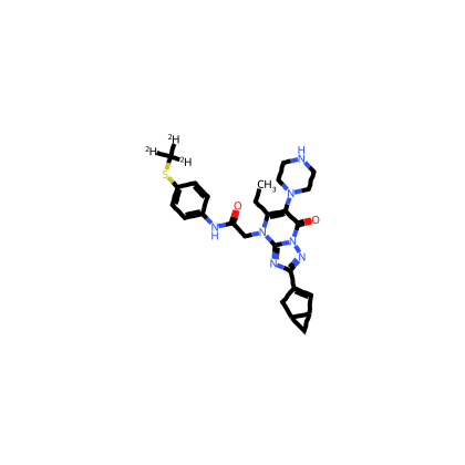 [2H]C([2H])([2H])Sc1ccc(NC(=O)Cn2c(CC)c(N3CCNCC3)c(=O)n3nc(C4=CC5CC5C4)nc23)cc1